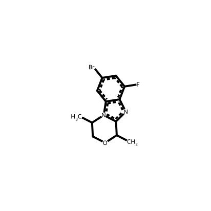 CC1OCC(C)n2c1nc1c(F)cc(Br)cc12